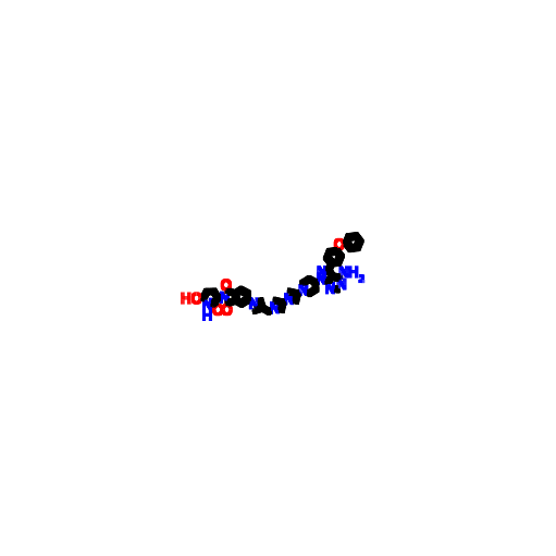 Nc1ncnc2c1c(-c1ccc(Oc3ccccc3)cc1)nn2C1CCN(C2CN(C3CN(CC4CN(c5ccc6c(c5)C(=O)N(C5CCC(O)NC5=O)C6=O)C4)C3)C2)CC1